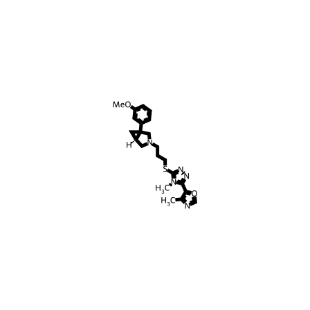 COc1cccc(C23C[C@@H]2CN(CCCSc2nnc(-c4ocnc4C)n2C)C3)c1